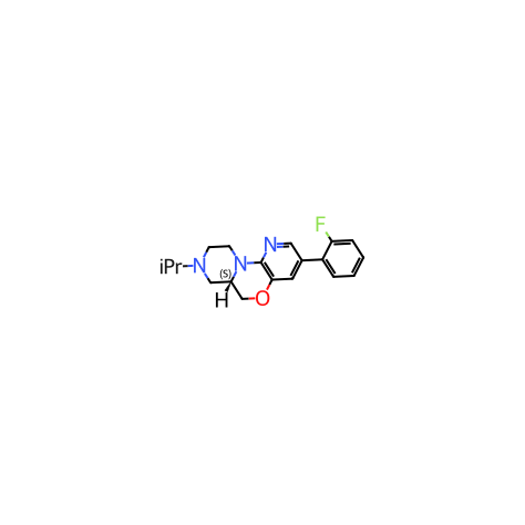 CC(C)N1CCN2c3ncc(-c4ccccc4F)cc3OC[C@@H]2C1